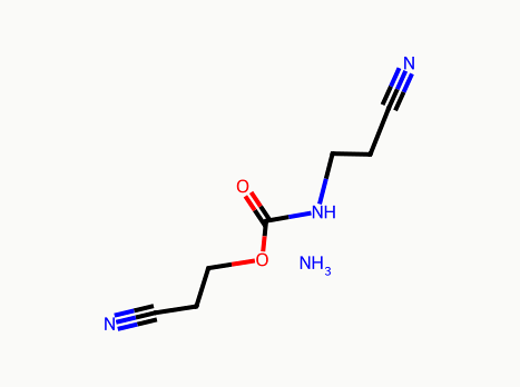 N.N#CCCNC(=O)OCCC#N